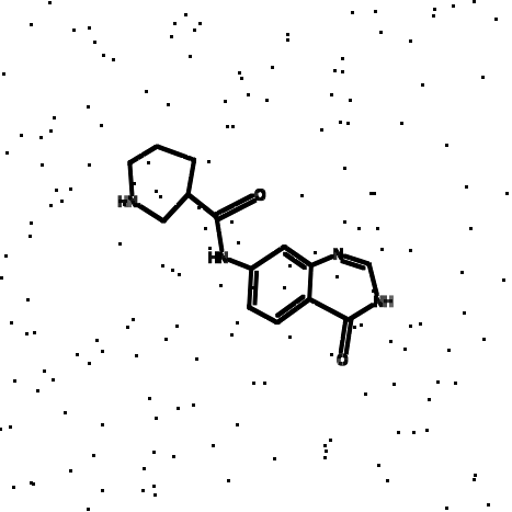 O=C(Nc1ccc2c(=O)[nH]cnc2c1)C1CCCNC1